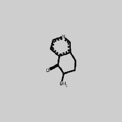 BC1CCc2cnccc2C1=O